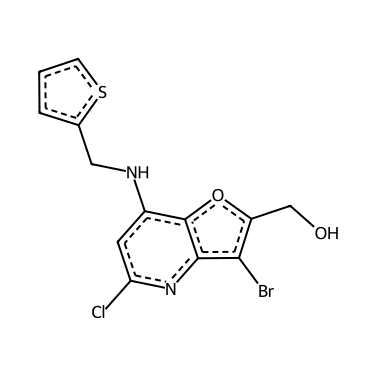 OCc1oc2c(NCc3cccs3)cc(Cl)nc2c1Br